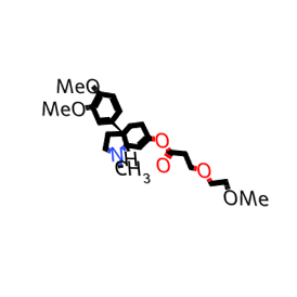 COCCOCCC(=O)OC1=C[C@@H]2N(C)CC[C@]2(c2ccc(OC)c(OC)c2)CC1